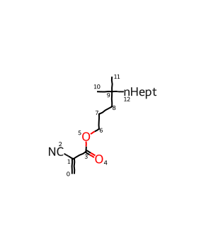 C=C(C#N)C(=O)OCCCC(C)(C)CCCCCCC